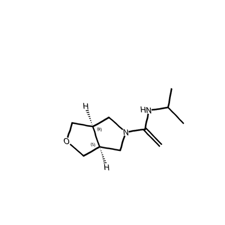 C=C(NC(C)C)N1C[C@H]2COC[C@H]2C1